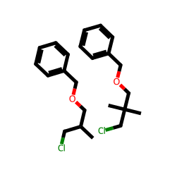 CC(C)(CCl)COCc1ccccc1.CC(CCl)COCc1ccccc1